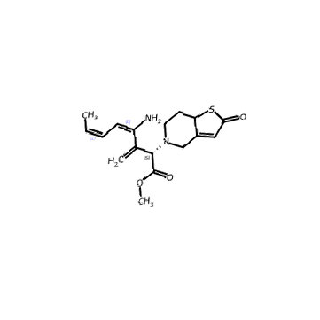 C=C(/C(N)=C\C=C/C)[C@@H](C(=O)OC)N1CCC2SC(=O)C=C2C1